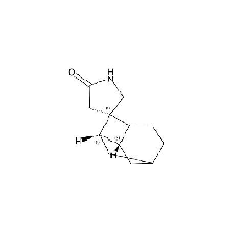 O=C1C[C@]2(CN1)C1CCC3C[C@@H]1[C@@H]2C3